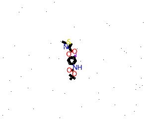 Cc1nc(C(=O)Oc2ccc(NC(=O)OC(C)(C)C)cc2I)cs1